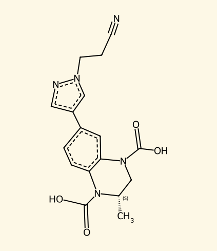 C[C@H]1CN(C(=O)O)c2cc(-c3cnn(CCC#N)c3)ccc2N1C(=O)O